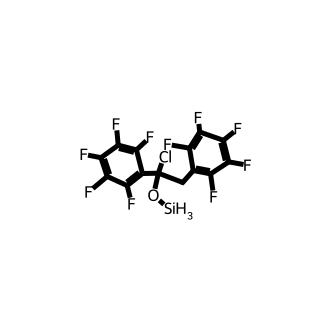 Fc1c(F)c(F)c(CC(Cl)(O[SiH3])c2c(F)c(F)c(F)c(F)c2F)c(F)c1F